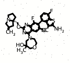 C=C1CN2CCC[C@@]2(COc2nc(N3CCOCC(C)(O)C3)c3cc(Cl)c(-c4ccc(F)c5sc(N)c(C#N)c45)c(F)c3n2)C1